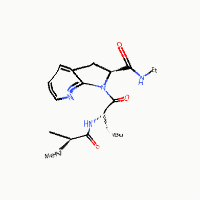 CCNC(=O)[C@@H]1Cc2cccnc2N1C(=O)[C@@H](NC(=O)[C@H](C)NC)[C@@H](C)CC